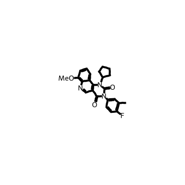 COc1cccc2c1ncc1c(=O)n(-c3ccc(F)c(C)c3)c(=O)n(C3CCCC3)c12